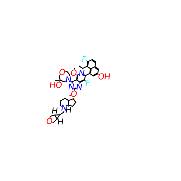 CCc1c(F)ccc2cc(O)cc(-c3nc(OC)c4c(N5CCOC[C@@](C)(O)C5)nc(OC[C@]56CCC[C@H]5N(CC5[C@H]7COC[C@@H]57)CCC6)nc4c3F)c12